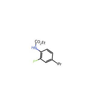 CCOC(=O)Nc1ccc(C(C)C)cc1F